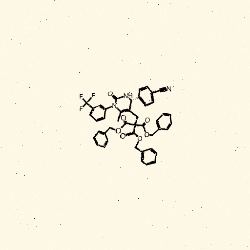 CC1=C(CC(C(=O)OCc2ccccc2)(C(=O)OCc2ccccc2)C(=O)OCc2ccccc2)[C@@H](c2ccc(C#N)cc2)NC(=O)N1c1cccc(C(F)(F)F)c1